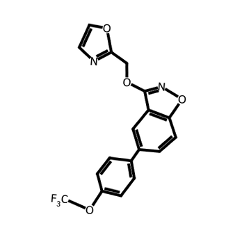 FC(F)(F)Oc1ccc(-c2ccc3onc(OCc4ncco4)c3c2)cc1